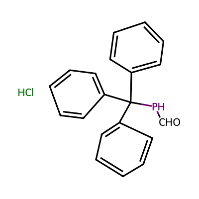 Cl.O=CPC(c1ccccc1)(c1ccccc1)c1ccccc1